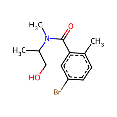 Cc1ccc(Br)cc1C(=O)N(C)C(C)CO